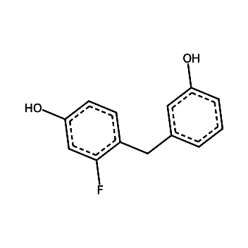 Oc1cccc(Cc2ccc(O)cc2F)c1